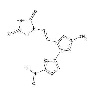 Cn1cc(/C=N/N2CC(=O)NC2=O)c(-c2ccc([N+](=O)[O-])o2)n1